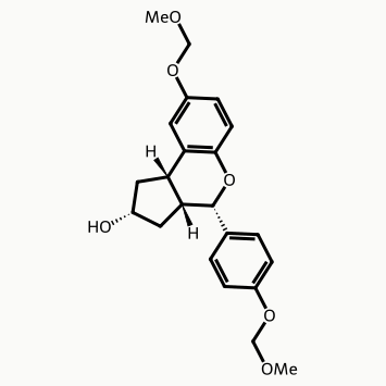 COCOc1ccc([C@H]2Oc3ccc(OCOC)cc3[C@H]3C[C@@H](O)C[C@H]32)cc1